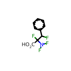 O=C(O)C(F)(C(F)c1ccccc1)N(F)F